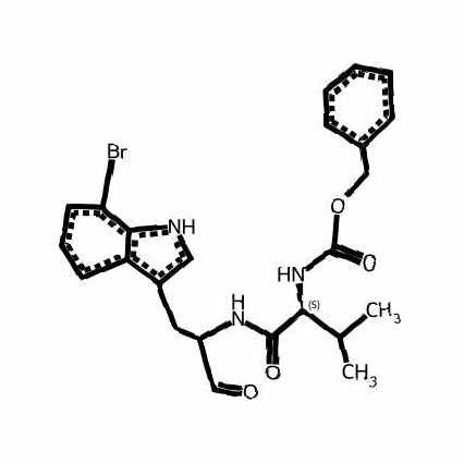 CC(C)[C@H](NC(=O)OCc1ccccc1)C(=O)NC(C=O)Cc1c[nH]c2c(Br)cccc12